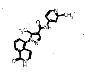 Cc1cc(NC(=O)c2cnn(-c3cccc4c(=O)[nH]ccc34)c2C(F)(F)F)ccn1